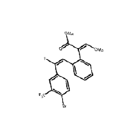 CO/C=C(/C(=O)OC)c1ccccc1/C=C(/F)c1ccc(Br)c(C(F)(F)F)c1